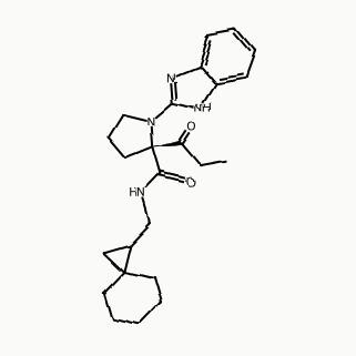 CCC(=O)[C@@]1(C(=O)NCC2CC23CCCCC3)CCCN1c1nc2ccccc2[nH]1